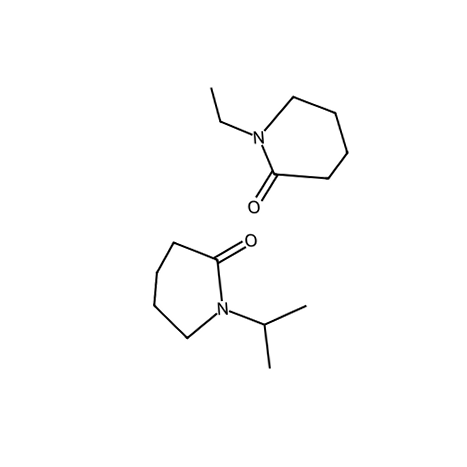 CC(C)N1CCCCC1=O.CCN1CCCCC1=O